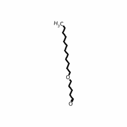 CCCCCCCCCCCCOCCCCC=O